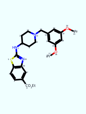 CCOC(=O)c1ccc2sc(NC3CCN(Cc4cc(OC(C)C)cc(OC(C)C)c4)CC3)nc2c1